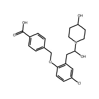 O=C(O)c1ccc(COc2ccc(Cl)cc2CC(O)N2CCC(O)CC2)cc1